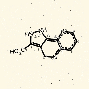 O=C(O)C1=C2CN=c3cccnc3=C2NN1